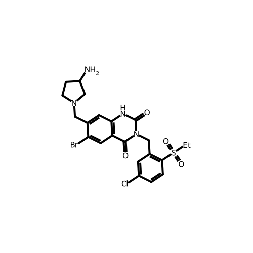 CCS(=O)(=O)c1ccc(Cl)cc1Cn1c(=O)[nH]c2cc(CN3CCC(N)C3)c(Br)cc2c1=O